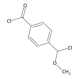 COC(Cl)c1ccc(C(=O)Cl)cc1